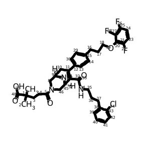 CC(C)(CCC(=O)N1C[C@H]2CC(c3ccc(CCCOc4c(F)ccc(F)c4F)cc3)=C(C(=O)NCCCc3ccccc3Cl)[C@@H](C1)N2)C(=O)O